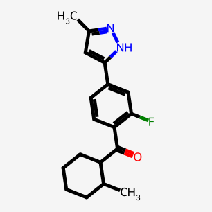 Cc1cc(-c2ccc(C(=O)C3CCCCC3C)c(F)c2)[nH]n1